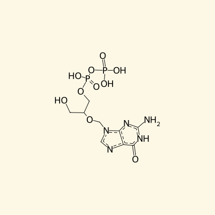 Nc1nc2c(ncn2COC(CO)COP(=O)(O)OP(=O)(O)O)c(=O)[nH]1